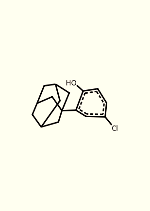 Oc1ccc(Cl)cc1C12CC3CC(CC(C3)C1)C2